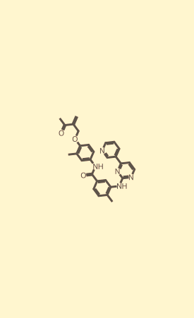 C=C(COc1ccc(NC(=O)c2ccc(C)c(Nc3nccc(-c4cccnc4)n3)c2)cc1C)C(C)=O